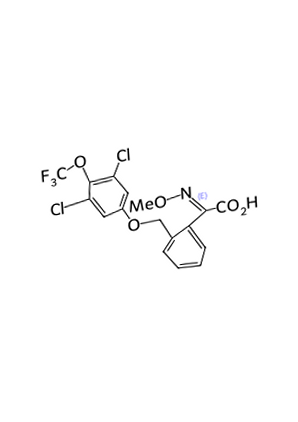 CO/N=C(/C(=O)O)c1ccccc1COc1cc(Cl)c(OC(F)(F)F)c(Cl)c1